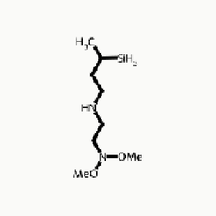 CON(CCNCCC(C)[SiH3])OC